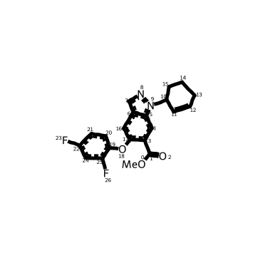 COC(=O)c1cc2c(cnn2C2C=CCCC2)cc1Oc1ccc(F)cc1F